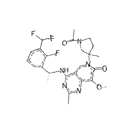 COc1c(=O)n(C2(C)CCN(C(C)=O)C2)cc2c(N[C@H](C)c3cccc(C(F)F)c3F)nc(C)nc12